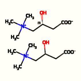 C[N+](C)(C)CC(O)CC(=O)[O-].C[N+](C)(C)C[C@H](O)CC(=O)[O-]